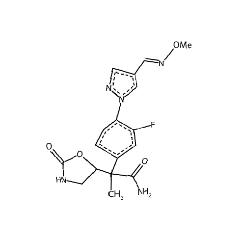 CON=Cc1cnn(-c2ccc(C(C)(C(N)=O)C3CNC(=O)O3)cc2F)c1